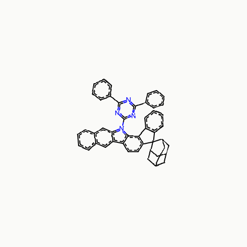 c1ccc(-c2nc(-c3ccccc3)nc(-n3c4cc5ccccc5cc4c4ccc5c(c43)-c3ccccc3C53C4CC5CC(C4)CC3C5)n2)cc1